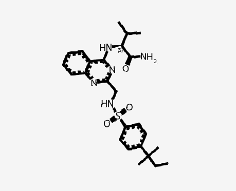 CCC(C)(C)c1ccc(S(=O)(=O)NCc2nc(N[C@H](C(N)=O)C(C)C)c3ccccc3n2)cc1